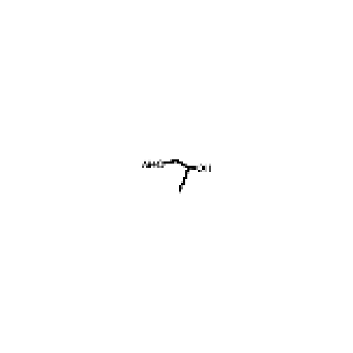 COCC(O)F